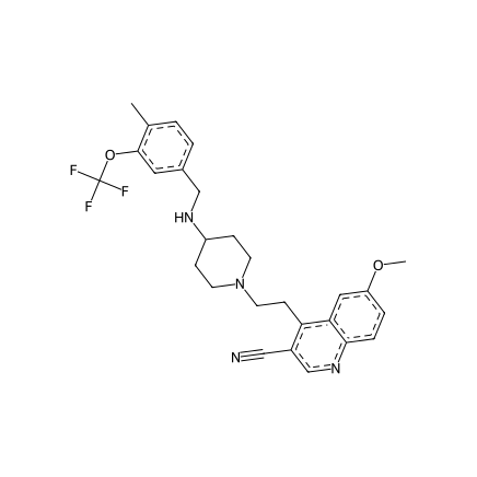 COc1ccc2ncc(C#N)c(CCN3CCC(NCc4ccc(C)c(OC(F)(F)F)c4)CC3)c2c1